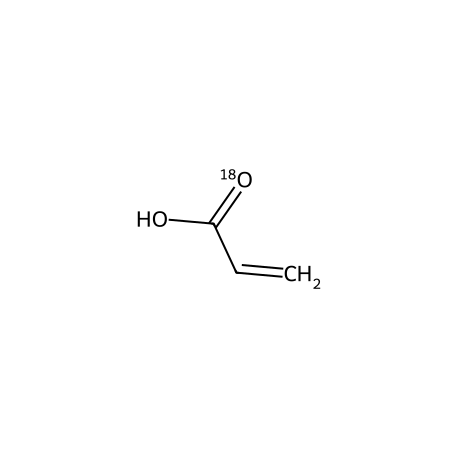 C=CC(O)=[18O]